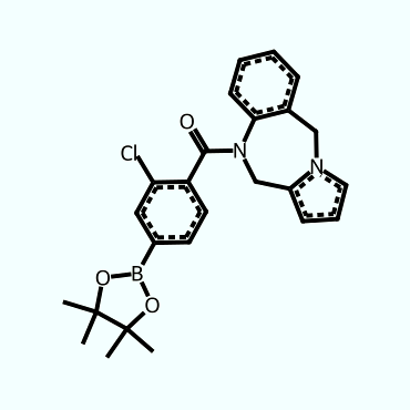 CC1(C)OB(c2ccc(C(=O)N3Cc4cccn4Cc4ccccc43)c(Cl)c2)OC1(C)C